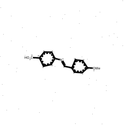 COc1ccc(C=Nc2ccc(C(=O)O)cc2)cc1